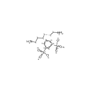 NCCCCCCN.O=S(=O)(Cl)c1cccc(S(=O)(=O)Cl)c1